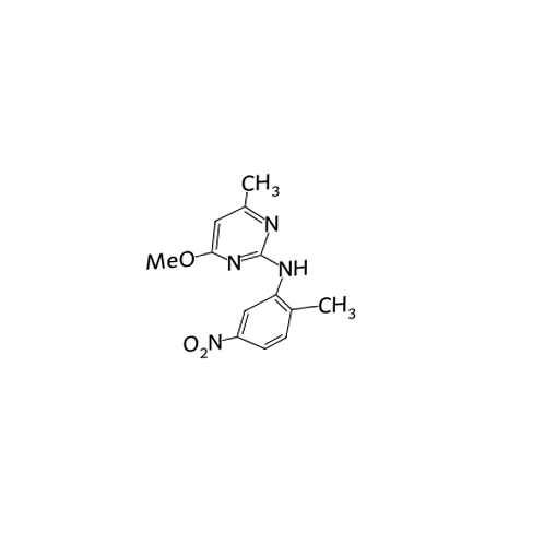 COc1cc(C)nc(Nc2cc([N+](=O)[O-])ccc2C)n1